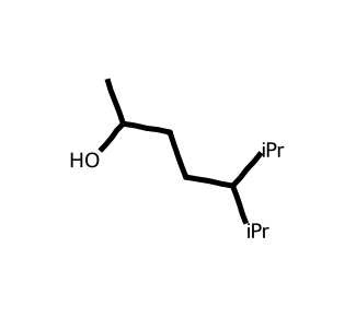 CC(O)CCC(C(C)C)C(C)C